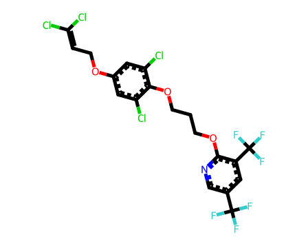 FC(F)(F)c1cnc(OCCCOc2c(Cl)cc(OCC=C(Cl)Cl)cc2Cl)c(C(F)(F)F)c1